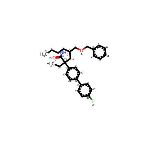 CCCCC(COCc1ccccc1)CC(CC)(C(N)=O)c1ccc(-c2ccc(F)cc2)cc1